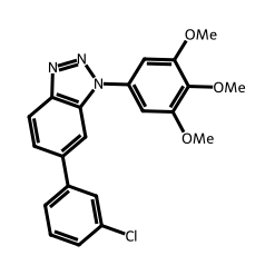 COc1cc(-n2nnc3ccc(-c4cccc(Cl)c4)cc32)cc(OC)c1OC